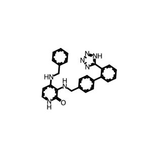 O=c1[nH]ccc(NCc2ccccc2)c1NCc1ccc(-c2ccccc2-c2nnn[nH]2)cc1